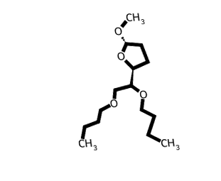 CCCCOCC(OCCCC)[C@@H]1CC[C@@H](OC)O1